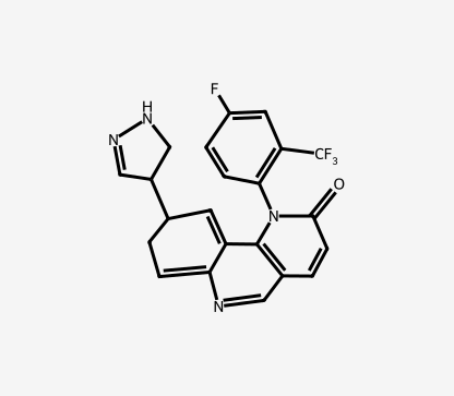 O=c1ccc2cnc3c(c2n1-c1ccc(F)cc1C(F)(F)F)=CC(C1C=NNC1)CC=3